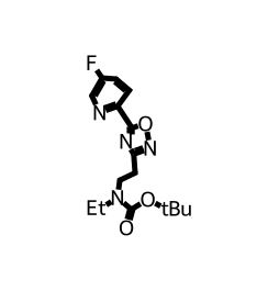 CCN(CCc1noc(-c2ccc(F)cn2)n1)C(=O)OC(C)(C)C